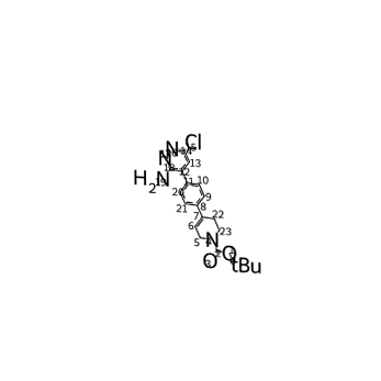 CC(C)(C)OC(=O)N1CC=C(c2ccc(-c3cc(Cl)nnc3N)cc2)CC1